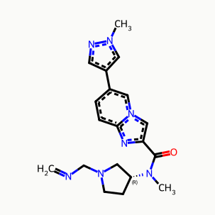 C=NCN1CC[C@@H](N(C)C(=O)c2cn3cc(-c4cnn(C)c4)ccc3n2)C1